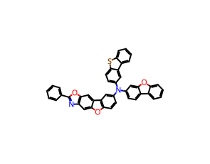 c1ccc(-c2nc3cc4oc5ccc(N(c6ccc7c(c6)oc6ccccc67)c6ccc7sc8ccccc8c7c6)cc5c4cc3o2)cc1